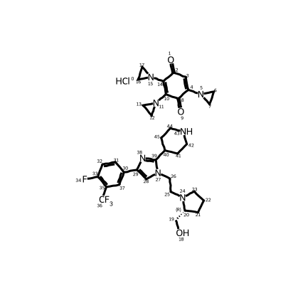 Cl.O=C1C=C(N2CC2)C(=O)C(N2CC2)=C1N1CC1.OC[C@H]1CCCN1CCn1cc(-c2ccc(F)c(C(F)(F)F)c2)nc1C1CCNCC1